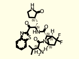 CC(C)[C@H](N)C(=O)N1[C@H]2C[C@@H]([C@H]1C(=O)N[C@@H](C[C@@H]1CCNC1=O)C(=O)c1nc3ccccc3s1)C(F)(F)C2